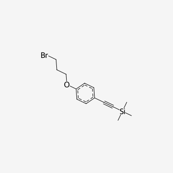 C[Si](C)(C)C#Cc1ccc(OCCCBr)cc1